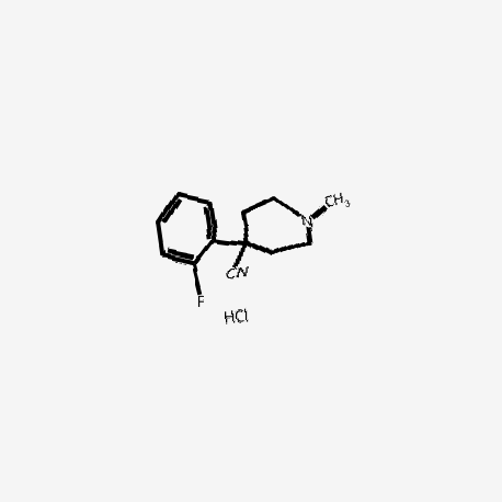 CN1CCC(C#N)(c2ccccc2F)CC1.Cl